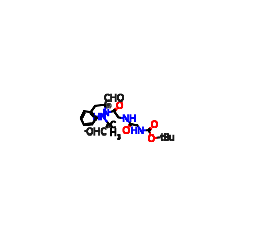 C[C@@H]([C]=O)NN(C(=O)CNC(=O)CNC(=O)OC(C)(C)C)[C@H](C=O)Cc1ccccc1